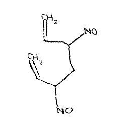 C=CC(CC(C=C)N=O)N=O